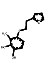 Cc1c(SCCc2ccco2)ccc(O)c1O